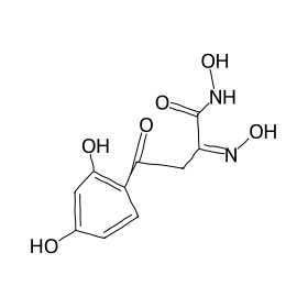 O=C(NO)/C(CC(=O)c1ccc(O)cc1O)=N\O